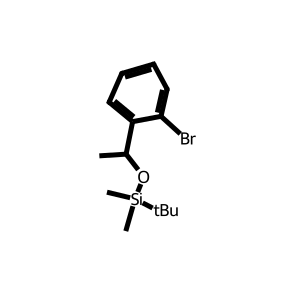 CC(O[Si](C)(C)C(C)(C)C)c1ccccc1Br